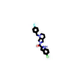 O=C(c1cc2cc(Cl)ccc2[nH]1)N1CC2CCCN(Cc3ccc(F)cc3)C2C1